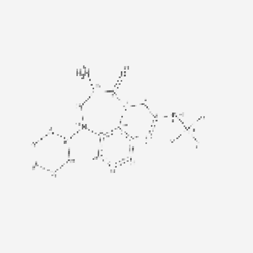 CC(C)(C)NC(=O)CN1C(=O)C(N)CN(C2CCCCC2)c2ccccc21